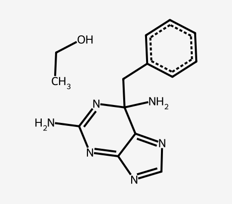 CCO.NC1=NC(N)(Cc2ccccc2)C2=NC=NC2=N1